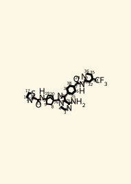 Nc1nccn2c(C34CCC(NC(=O)c5nccs5)(CC3)C4)nc(-c3ccc(C(=O)Nc4cc(C(F)(F)F)ccn4)cc3)c12